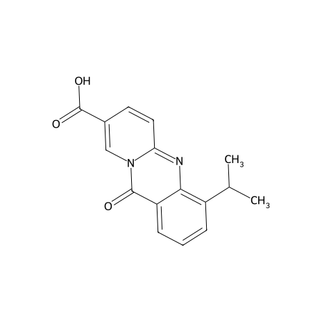 CC(C)c1cccc2c(=O)n3cc(C(=O)O)ccc3nc12